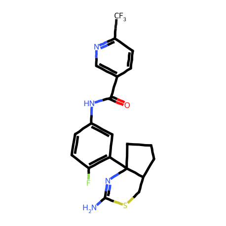 NC1=NC2(c3cc(NC(=O)c4ccc(C(F)(F)F)nc4)ccc3F)CCCC2CS1